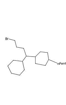 CCCCCC1CCC(C(CCCBr)C2CCCCC2)CC1